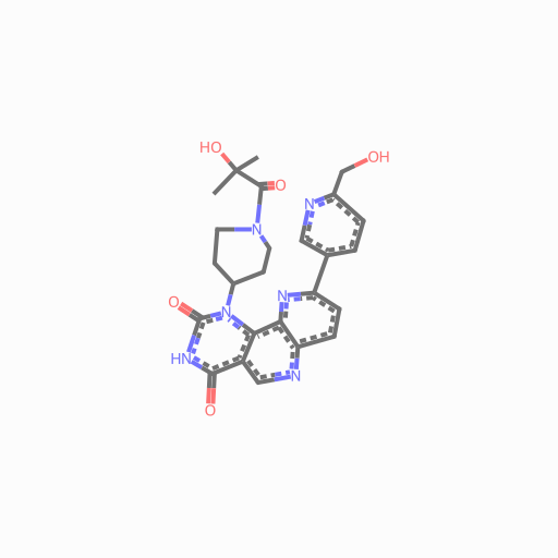 CC(C)(O)C(=O)N1CCC(n2c(=O)[nH]c(=O)c3cnc4ccc(-c5ccc(CO)nc5)nc4c32)CC1